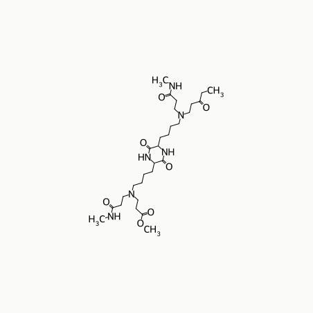 CCC(=O)CCN(CCCCC1NC(=O)C(CCCCN(CCC(=O)NC)CCC(=O)OC)NC1=O)CCC(=O)NC